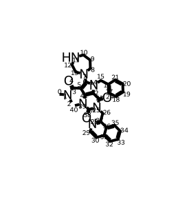 CN(C)C(=O)c1c(N2CCCNCC2)n(Cc2ccccc2)c2c(=O)n(Cc3nccc4ccccc34)c(=O)n(C)c12